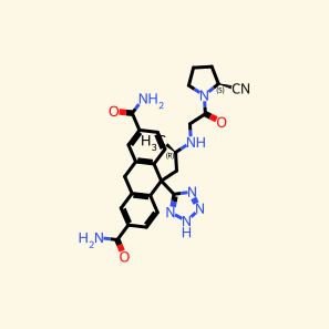 C[C@H](CC1(c2nn[nH]n2)c2ccc(C(N)=O)cc2Cc2cc(C(N)=O)ccc21)NCC(=O)N1CCC[C@H]1C#N